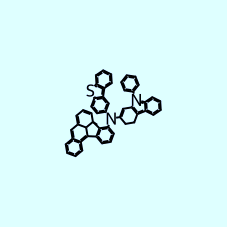 CC12C=CC=C3C=c4ccccc4=C(c4cccc(N(C5=Cc6c(c7ccccc7n6-c6ccccc6)CC5)c5ccc6sc7ccccc7c6c5)c41)C32